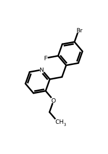 CCOc1cccnc1Cc1ccc(Br)cc1F